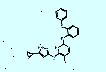 BrC1=C(Nc2cc(C3CC3)[nH]n2)NC(Nc2ccccc2Oc2ccccc2)N=C1